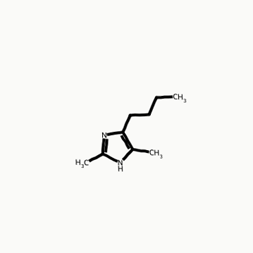 CCCCc1nc(C)[nH]c1C